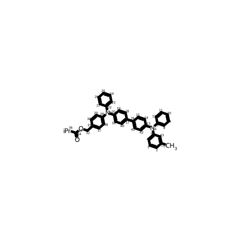 Cc1cccc(N(c2ccccc2)c2ccc(-c3ccc(N(c4ccccc4)c4ccc(COC(=O)C(C)C)cc4)cc3)cc2)c1